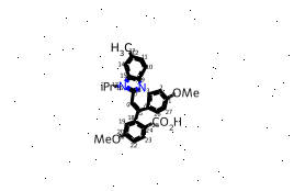 COc1ccc(C(=Cc2nc3ccc(C)cc3n2C(C)C)c2cc(OC)ccc2C(=O)O)cc1